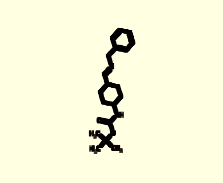 CC(C)(C)OC(=O)NC1CCC(C=NCc2ccccc2)CC1